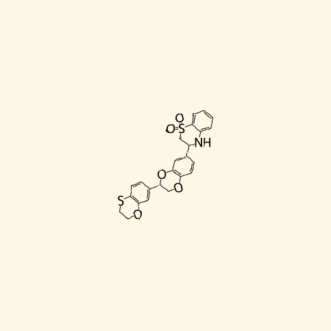 O=S1(=O)CC(c2ccc3c(c2)OC(c2ccc4c(c2)OCCS4)CO3)Nc2ccccc21